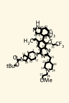 C=Cc1cc2c(N3CCC4(CC3)CN(C(=O)OC(C)(C)C)C4)nc(CC3CCN(CCOC)CC3)nc2c(OCC(F)(F)F)c1-c1c(C)ccc2[nH]ncc12